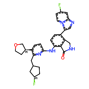 O=C1NCc2c(-c3cnc4cc(F)ccn34)ccc(Nc3ccc([C@H]4CCOC4)c(CC4CC[C@@H](F)C4)n3)c21